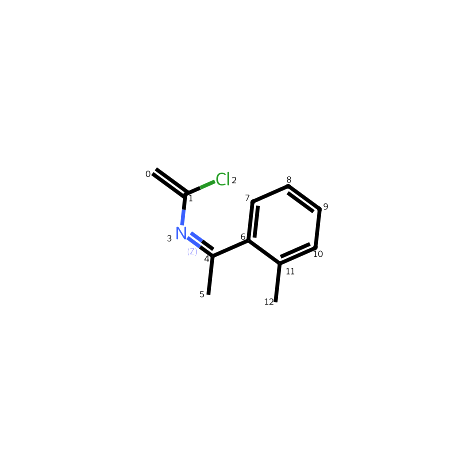 C=C(Cl)/N=C(/C)c1ccccc1C